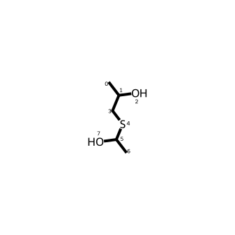 CC(O)CSC(C)O